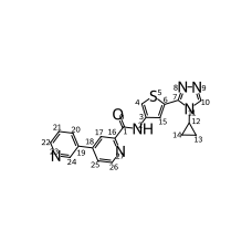 O=C(Nc1csc(-c2nncn2C2CC2)c1)c1cc(-c2cccnc2)ccn1